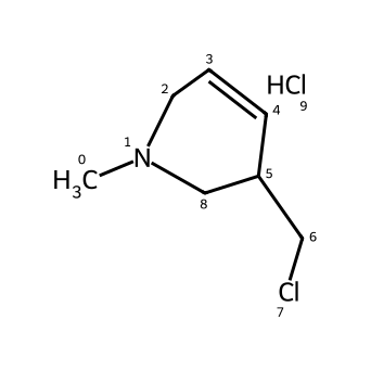 CN1CC=CC(CCl)C1.Cl